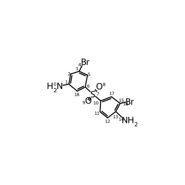 Nc1cc(Br)cc(S(=O)(=O)c2ccc(N)c(Br)c2)c1